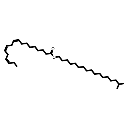 CC/C=C\C/C=C\C/C=C\CCCCCCCC(=O)OCCCCCCCCCCCCCCCC(C)C